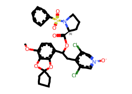 COc1ccc(C(Cc2c(Cl)c[n+]([O-])cc2Cl)OC(=O)[C@@H]2CCCN2S(=O)(=O)c2ccccc2)c2c1OC1(CCCC1)O2